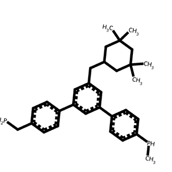 CPc1ccc(-c2cc(CC3CC(C)(C)CC(C)(C)C3)cc(-c3ccc(CP)cc3)c2)cc1